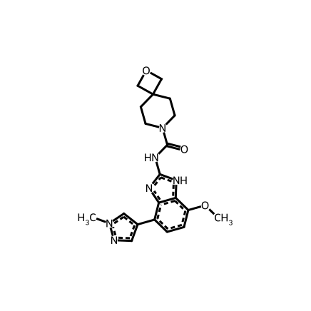 COc1ccc(-c2cnn(C)c2)c2nc(NC(=O)N3CCC4(CC3)COC4)[nH]c12